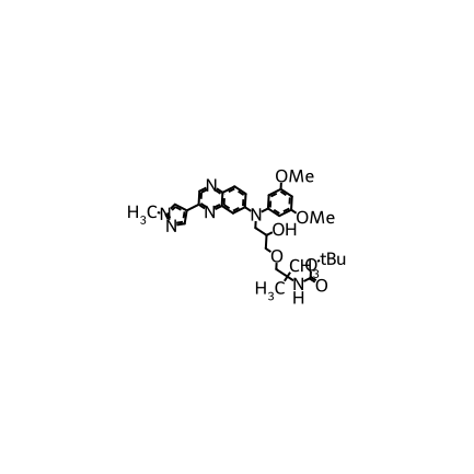 COc1cc(OC)cc(N(CC(O)COCC(C)(C)NC(=O)OC(C)(C)C)c2ccc3ncc(-c4cnn(C)c4)nc3c2)c1